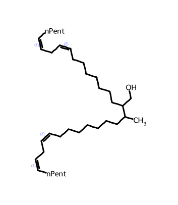 CCCCC/C=C\C/C=C\CCCCCCCC(C)C(CO)CCCCCCC/C=C\C/C=C\CCCCC